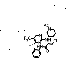 CC(=O)N1CCC[C@H](Nc2ncc(C(F)(F)F)c(Nc3ccccc3NC(=O)CCCl)n2)C1